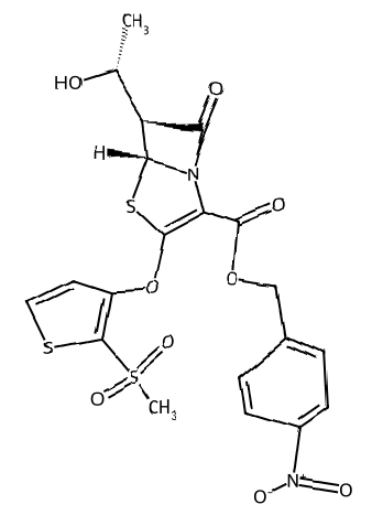 C[C@@H](O)[C@H]1C(=O)N2C(C(=O)OCc3ccc([N+](=O)[O-])cc3)=C(Oc3ccsc3S(C)(=O)=O)S[C@H]12